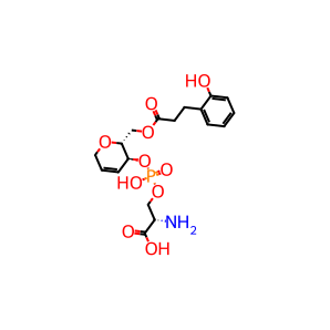 N[C@@H](COP(=O)(O)O[C@H]1C=CCO[C@@H]1COC(=O)CCc1ccccc1O)C(=O)O